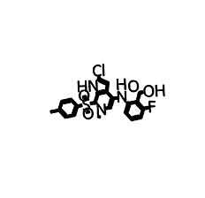 Cc1ccc(S(=O)(=O)C2c3[nH]c(Cl)cc3C(Nc3cccc(F)c3C(=O)O)=CN2C)cc1